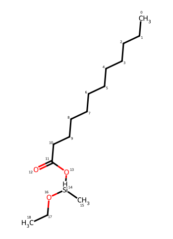 CCCCCCCCCCCC(=O)O[SiH](C)OCC